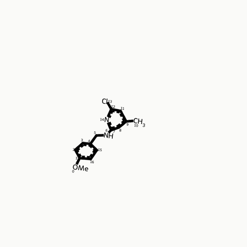 COc1ccc(CNc2cc(C)cc(Cl)n2)cc1